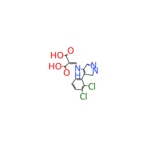 O=C(O)C(=CNc1cnncc1-c1cccc(Cl)c1Cl)C(=O)O